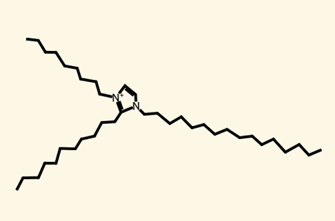 CCCCCCCCCCCCCCCCn1cc[n+](CCCCCCCCC)c1CCCCCCCCCCC